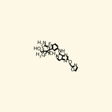 C[C@@]1(CO)SC(N)=N[C@](C)(c2cc(Nc3nccc4nc(OCc5ncco5)cnc34)ccc2F)C1(F)F